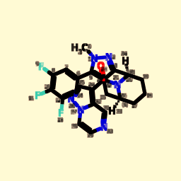 Cn1nc2c(c1-c1cc(F)c(F)c(F)c1)C[C@@H]1CCC[C@H]2N1C(=O)c1cnn2ccncc12